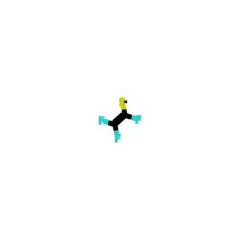 FC(F)=C(F)[S]